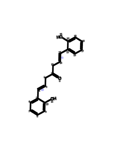 O=C(C/C=C/c1ccccc1O)C/C=C/c1ccccc1O